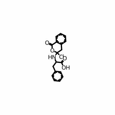 O=C1OC(Cl)(NC(Cc2ccccc2)C(=O)O)Cc2ccccc21